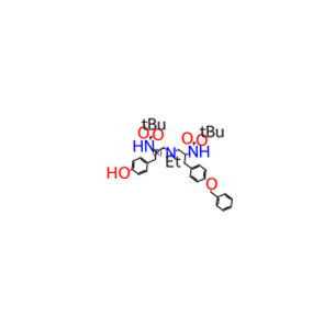 CCN(CC(Cc1ccc(OCc2ccccc2)cc1)NC(=O)OC(C)(C)C)C[C@@H](Cc1ccc(O)cc1)NC(=O)OC(C)(C)C